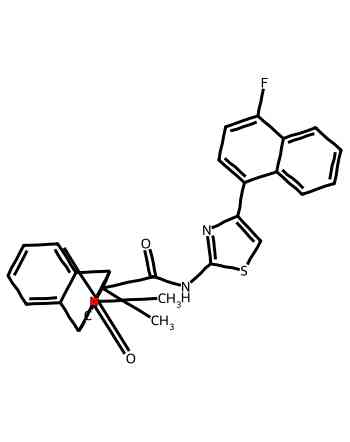 CN1C(=O)C2CC(C)(C(=O)Nc3nc(-c4ccc(F)c5ccccc45)cs3)C1c1ccccc12